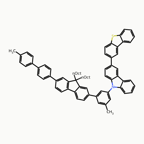 CCCCCCCCC1(CCCCCCCC)c2cc(-c3ccc(-c4ccc(C)cc4)cc3)ccc2-c2ccc(-c3cc(C)cc(-n4c5ccccc5c5cc(-c6ccc7sc8ccccc8c7c6)ccc54)c3)cc21